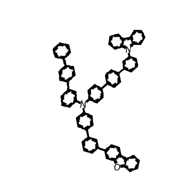 c1ccc(-c2ccc(-c3cccc(N(c4ccc(-c5ccc(-c6cccc(-n7c8ccccc8c8ccccc87)c6)cc5)cc4)c4ccc(-c5cccc(-c6ccc7c(c6)oc6ccccc67)c5)cc4)c3)cc2)cc1